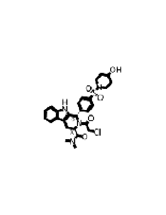 CN(C)C(=O)[C@H]1Cc2c([nH]c3ccccc23)[C@H](c2ccc(S(=O)(=O)N3CCC(O)CC3)cc2)N1C(=O)CCl